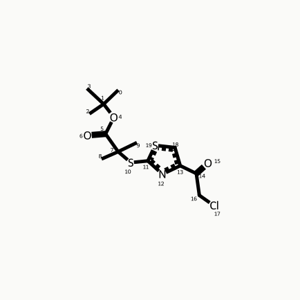 CC(C)(C)OC(=O)C(C)(C)Sc1nc(C(=O)CCl)cs1